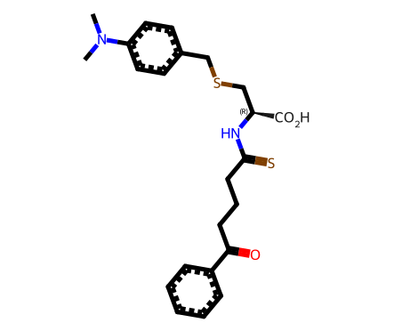 CN(C)c1ccc(CSC[C@H](NC(=S)CCCC(=O)c2ccccc2)C(=O)O)cc1